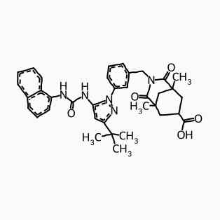 CC12CC(C(=O)O)CC(C)(C1)C(=O)N(Cc1cccc(-n3nc(C(C)(C)C)cc3NC(=O)Nc3cccc4ccccc34)c1)C2=O